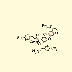 CCOC(=O)C1CCOc2cc(Oc3ccc(C(=O)NCCc4ccc(C(F)(F)F)nc4OC)cc3)c(Cl)cc21.COc1nc(C(F)(F)F)ccc1CCN